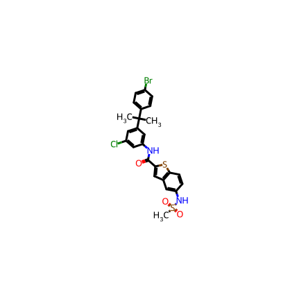 CC(C)(c1ccc(Br)cc1)c1cc(Cl)cc(NC(=O)c2cc3cc(NS(C)(=O)=O)ccc3s2)c1